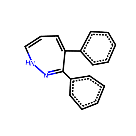 C1=CNN=C(c2ccccc2)C(c2ccccc2)=C1